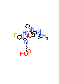 Cc1c(-c2cnn(C)c2)nn(-c2ccccc2)c1NC(=O)N[C@@H]1CN(CCCCC(=O)O)C[C@H]1c1ccc(F)cc1